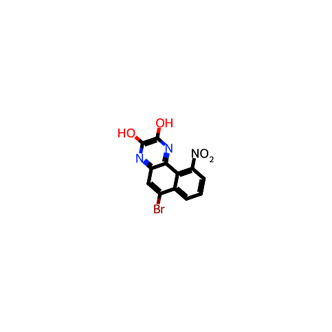 O=[N+]([O-])c1cccc2c(Br)cc3nc(O)c(O)nc3c12